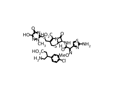 CO/N=C(\C(=O)N[C@@H]1C(=O)N2C(C(=O)O)=C(CSc3nc(=O)c(O)nn3C)CS[C@H]12)c1csc(N)n1.NCC(CC(=O)O)c1ccc(Cl)cc1